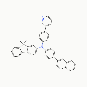 CC1(C)c2ccccc2-c2ccc(N(c3ccc(-c4cccnc4)cc3)c3ccc(-c4ccc5ccccc5c4)cc3)cc21